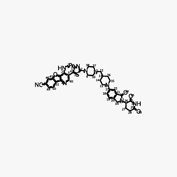 CC(C)Nc1c(-c2nnc(N3CCN(CC4CCN(c5ccc6c(c5)C(=O)N(C5CCC(=O)NC5=O)C6)CC4)CC3)s2)cnc2c1oc1cc(C#N)ccc12